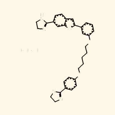 Cl.Cl.c1cc(OCCCCCOc2ccc(C3=NCCN3)cc2)cc(-c2cc3ccc(C4=NCCN4)cc3o2)c1